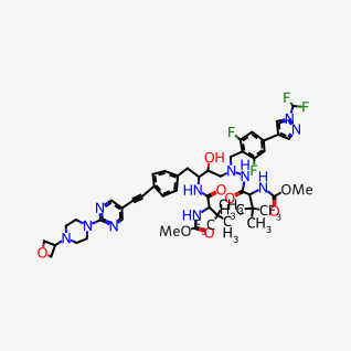 COC(=O)NC(C(=O)NC(Cc1ccc(C#Cc2cnc(N3CCN(C4COC4)CC3)nc2)cc1)C(O)CN(Cc1c(F)cc(-c2cnn(C(F)F)c2)cc1F)NC(=O)C(NC(=O)OC)C(C)(C)C(F)(F)F)C(C)(C)C(F)(F)F